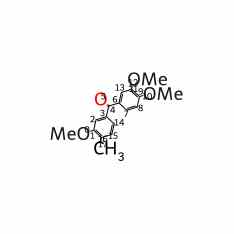 COc1cc(C(=O)c2ccc(OC)c(OC)c2)ccc1C